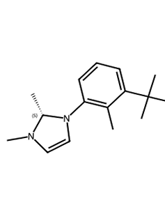 Cc1c(N2C=CN(C)[C@@H]2C)cccc1C(C)(C)C